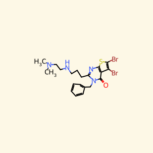 CN(C)CCNCCCc1nc2sc(Br)c(Br)c2c(=O)n1Cc1ccccc1